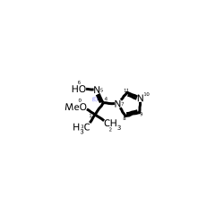 COC(C)(C)/C(=N\O)n1ccnc1